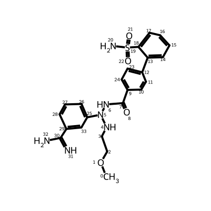 COCCNN(NC(=O)c1ccc(-c2ccccc2S(N)(=O)=O)cc1)c1cccc(C(=N)N)c1